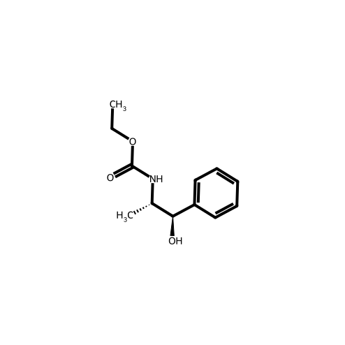 CCOC(=O)N[C@@H](C)[C@H](O)c1ccccc1